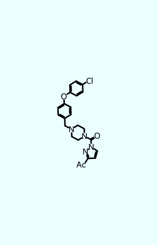 CC(=O)c1ccn(C(=O)N2CCN(Cc3ccc(Oc4ccc(Cl)cc4)cc3)CC2)n1